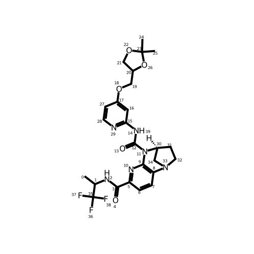 CC(NC(=O)c1ccc2c(n1)N(C(=O)Nc1cc(OCC3COC(C)(C)O3)ccn1)[C@H]1CCN2C1)C(F)(F)F